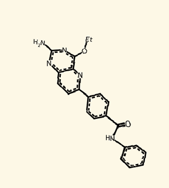 CCOc1nc(N)nc2ccc(-c3ccc(C(=O)Nc4ccccc4)cc3)nc12